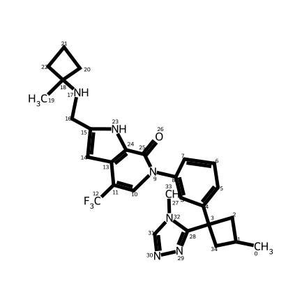 CC1CC(c2cccc(-n3cc(C(F)(F)F)c4cc(CNC5(C)CCC5)[nH]c4c3=O)c2)(c2nncn2C)C1